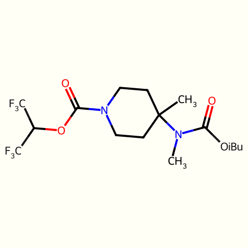 CC(C)COC(=O)N(C)C1(C)CCN(C(=O)OC(C(F)(F)F)C(F)(F)F)CC1